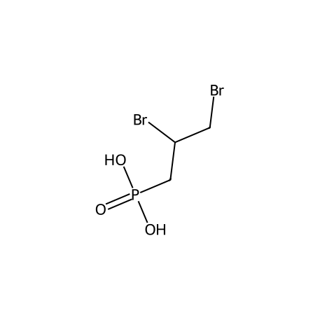 O=P(O)(O)CC(Br)CBr